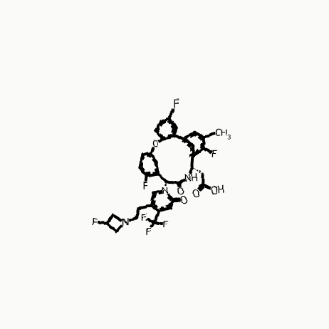 Cc1cc2cc(c1F)[C@H](CC(=O)O)NC(=O)[C@H](n1cc(CCN3CC(F)C3)c(C(F)(F)F)cc1=O)c1cc(ccc1F)Oc1ccc(F)cc1-2